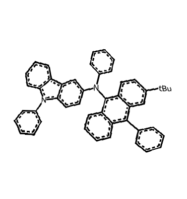 CC(C)(C)c1ccc2c(N(c3ccccc3)c3ccc4c(c3)c3ccccc3n4-c3ccccc3)c3ccccc3c(-c3ccccc3)c2c1